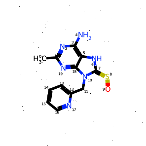 Cc1nc(N)c2[nH]c(=S=O)n(Cc3ccccn3)c2n1